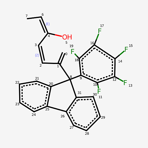 C=C(/C=C\C(O)=C/C)C1(c2c(F)c(F)c(F)c(F)c2F)c2ccccc2-c2ccccc21